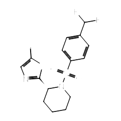 CCc1cnc([C@@H]2CCCCN2S(=O)(=O)c2ccc(C(F)F)cc2)s1